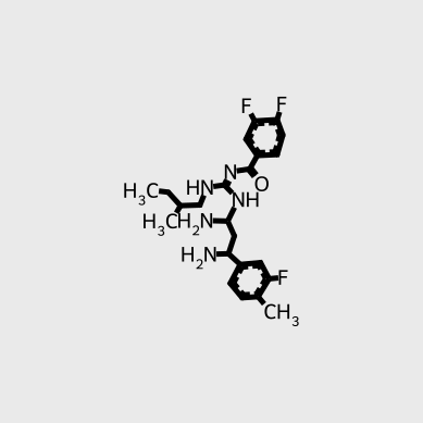 CCC(C)CN/C(=N/C(=O)c1ccc(F)c(F)c1)NC(N)CC(N)c1ccc(C)c(F)c1